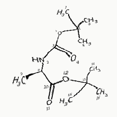 C[C@@H](NC(=O)OC(C)(C)C)C(=O)OC(C)(C)C